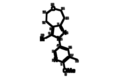 COc1ncc(-n2nc3c(c2Br)CCOCC3)cc1C